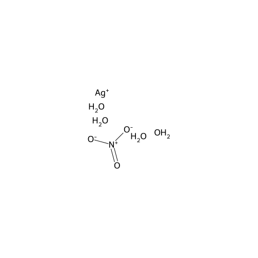 O.O.O.O.O=[N+]([O-])[O-].[Ag+]